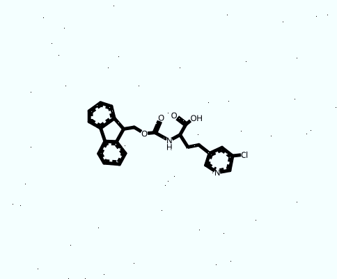 O=C(NC(CCc1cncc(Cl)c1)C(=O)O)OCC1c2ccccc2-c2ccccc21